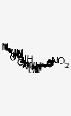 CN(C)CCCNC(=O)c1cc(NC(=O)c2cc(NC(=O)c3cc(C=Cc4ccc([N+](=O)[O-])cc4)cn3C)cn2C)cn1C